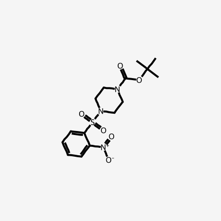 CC(C)(C)OC(=O)N1CCN(S(=O)(=O)c2ccccc2[N+](=O)[O-])CC1